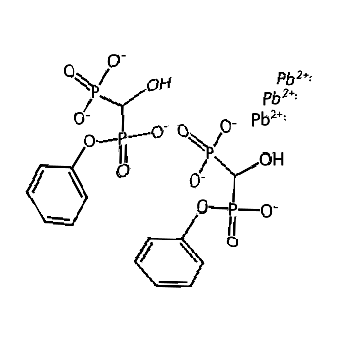 O=P([O-])([O-])C(O)P(=O)([O-])Oc1ccccc1.O=P([O-])([O-])C(O)P(=O)([O-])Oc1ccccc1.[Pb+2].[Pb+2].[Pb+2]